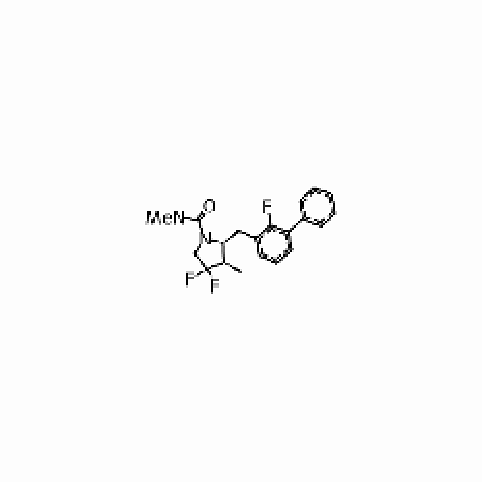 CNC(=O)N1CC(F)(F)[C@H](C)[C@@H]1Cc1cccc(-c2ccccc2)c1F